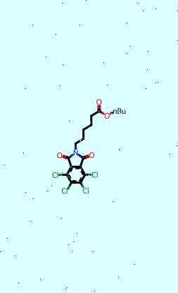 CCCCOC(=O)CCCCCN1C(=O)c2c(Cl)c(Cl)c(Cl)c(Cl)c2C1=O